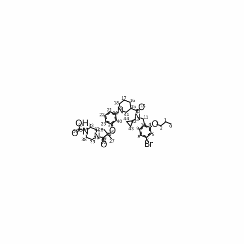 CCCOc1cc(Br)ccc1CN(C(=O)C1CCCN(c2cccc(OC(C)(C)C(=O)N3CCN(C(=O)O)CC3)c2)C1)C1CC1